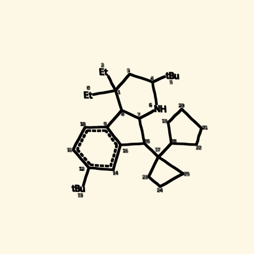 CCC1(CC)CC(C(C)(C)C)NC2C1c1ccc(C(C)(C)C)cc1C2C1(C2CCCC2)CCC1